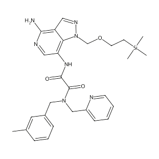 Cc1cccc(CN(Cc2ccccn2)C(=O)C(=O)Nc2cnc(N)c3cnn(COCC[Si](C)(C)C)c23)c1